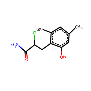 Cc1cc(O)c(CC(Cl)C(N)=O)c(C(C)(C)C)c1